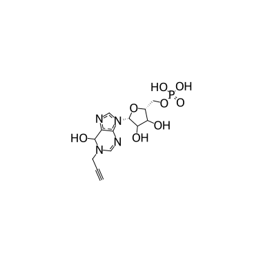 C#CCN1C=Nc2c(ncn2[C@@H]2O[C@H](COP(=O)(O)O)C(O)C2O)C1O